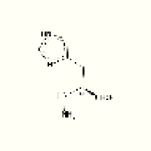 NN[C@H]([C]=O)Cc1c[nH]cn1